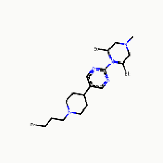 CCC1CN(C)CC(CC)N1c1ncc(C2CCN(CCCC(C)C)CC2)cn1